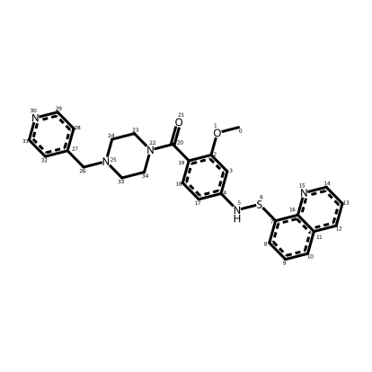 COc1cc(NSc2cccc3cccnc23)ccc1C(=O)N1CCN(Cc2ccncc2)CC1